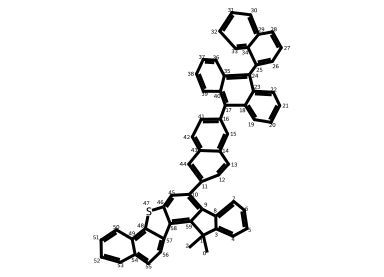 CC1(C)c2ccccc2-c2c(-c3ccc4cc(-c5c6ccccc6c(-c6cccc7ccccc67)c6ccccc56)ccc4c3)cc3sc4c5ccccc5ccc4c3c21